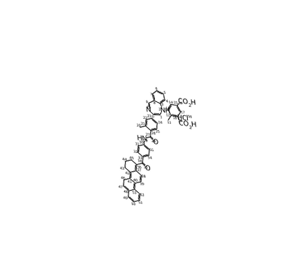 C1=CNc2ccccc2C=N1.Cc1ccc(C(=O)O)cc1C(=O)O.Cc1ccccc1C(=O)Nc1ccc(C(=O)C2=c3ccc4c(c3CCC2)CC=c2ccccc2=4)cc1.Cl